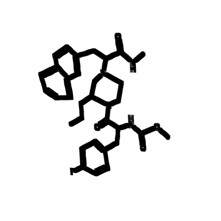 CCCC1CN(C(Cc2ccc3ccccc3c2)C(=O)NC)CCN1C(=O)C(Cc1ccc(F)cc1)NC(=O)OC